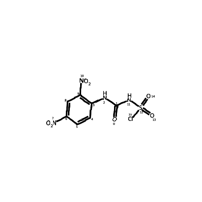 O=C(Nc1ccc([N+](=O)[O-])cc1[N+](=O)[O-])NS(=O)(=O)Cl